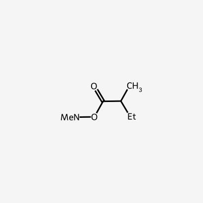 CCC(C)C(=O)ONC